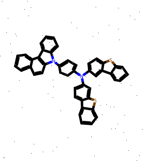 C1=C(N(c2ccc3c(c2)sc2ccccc23)c2ccc3sc4ccccc4c3c2)CCC(n2c3ccccc3c3c4ccccc4ccc32)=C1